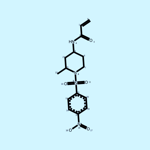 C=CC(=O)NC1CCN(S(=O)(=O)c2ccc([N+](=O)[O-])cc2)C(C)C1